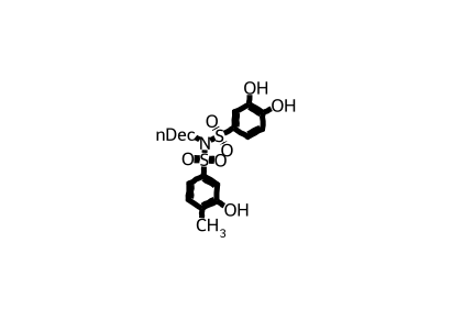 CCCCCCCCCCN(S(=O)(=O)c1ccc(C)c(O)c1)S(=O)(=O)c1ccc(O)c(O)c1